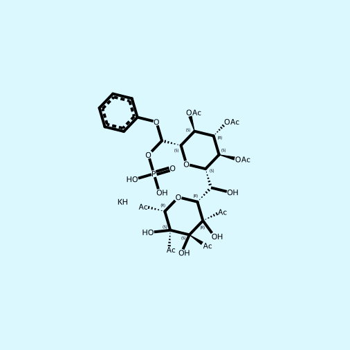 CC(=O)O[C@@H]1[C@@H](OC(C)=O)[C@H](C(O)[C@H]2O[C@@H](C(C)=O)[C@@](O)(C(C)=O)[C@](O)(C(C)=O)[C@@]2(O)C(C)=O)O[C@H](C(Oc2ccccc2)OP(=O)(O)O)[C@H]1OC(C)=O.[KH]